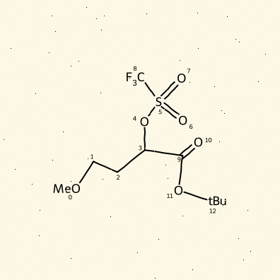 COCCC(OS(=O)(=O)C(F)(F)F)C(=O)OC(C)(C)C